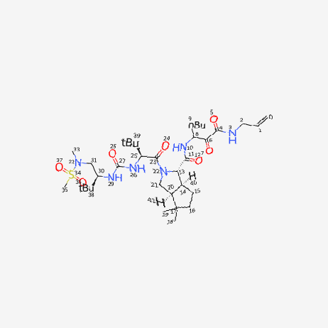 C=CCNC(=O)C(=O)C(CCCC)NC(=O)[C@@H]1[C@H]2CCC(C)(C)[C@H]2CN1C(=O)[C@@H](NC(=O)N[C@H](CN(C)S(C)(=O)=O)C(C)(C)C)C(C)(C)C